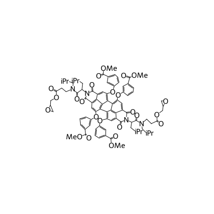 COC(=O)c1cccc(Oc2cc3c4c(cc(Oc5cccc(C(=O)OC)c5)c5c6c(Oc7cccc(C(=O)OC)c7)cc7c8c(cc(Oc9cccc(C(=O)OC)c9)c(c2c45)c86)C(=O)N(C(CC(C)C)C(=O)N(CCC(=O)OCC2CO2)CC(C)C)C7=O)C(=O)N(C(CC(C)C)C(=O)N(CCC(=O)OCC2CO2)CC(C)C)C3=O)c1